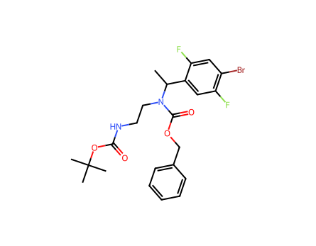 CC(c1cc(F)c(Br)cc1F)N(CCNC(=O)OC(C)(C)C)C(=O)OCc1ccccc1